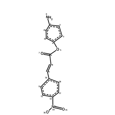 Nc1ccc(OC(=O)C=Cc2ccc([N+](=O)[O-])cc2)cc1